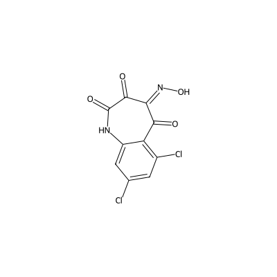 O=C1Nc2cc(Cl)cc(Cl)c2C(=O)C(=NO)C1=O